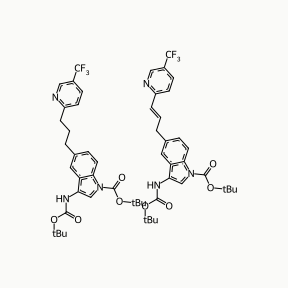 CC(C)(C)OC(=O)Nc1cn(C(=O)OC(C)(C)C)c2ccc(C/C=C/c3ccc(C(F)(F)F)cn3)cc12.CC(C)(C)OC(=O)Nc1cn(C(=O)OC(C)(C)C)c2ccc(CCCc3ccc(C(F)(F)F)cn3)cc12